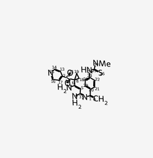 C=C(/N=C(N)\C=C(/N)C1(S(=O)(=O)c2ccncc2)CC1)c1ccc(NC(=S)NC)cc1